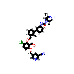 Cc1c(COc2c(Cl)ccc(OCc3cncc(C#N)c3)c2C=O)cccc1-c1ccc2oc(N3C[C@@H]4C[C@H]3CN4)nc2c1